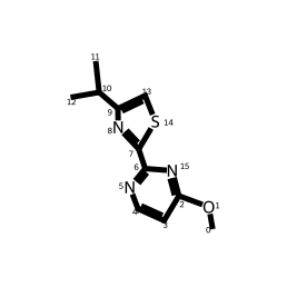 COc1c[c]nc(-c2nc(C(C)C)cs2)n1